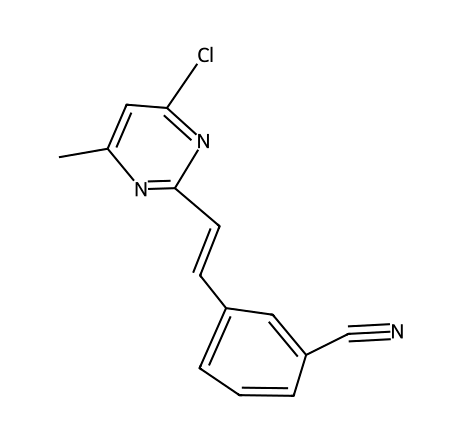 Cc1cc(Cl)nc(C=Cc2cccc(C#N)c2)n1